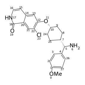 COc1ccc(C(N)[C@H]2CC[C@@H](Oc3cc4cc[nH]c(=O)c4cc3Cl)CC2)cc1